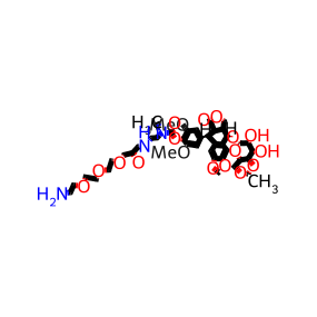 COc1cc([C@@H]2c3cc4c(cc3[C@@H](OC3OC5COC(C)OC5C(O)C3O)[C@H]3COC(=O)[C@H]23)OCO4)cc(OC)c1OC(=O)N(C)CCNCC(=O)COCCOCCOCCN